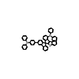 C1=CCCC(N(c2ccccc2)c2cccc3c2-c2c(sc4ccccc24)C32c3ccccc3-c3cc(-c4ccc(N(c5ccccc5)c5ccccc5)cc4)ccc32)=C1